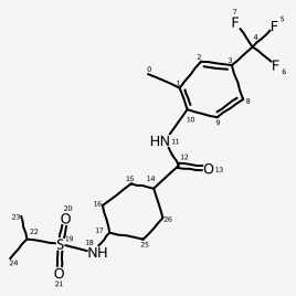 Cc1cc(C(F)(F)F)ccc1NC(=O)C1CCC(NS(=O)(=O)C(C)C)CC1